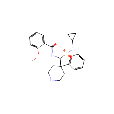 COc1ccccc1C(=O)NC(C1(c2ccccc2)CCNCC1)S(=O)(=O)NC1CC1